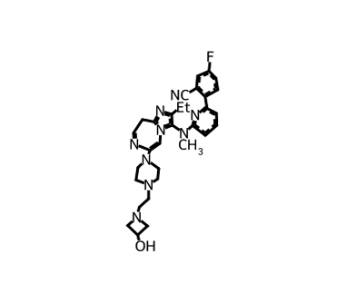 CCc1nc2n(c1N(C)c1cccc(-c3ccc(F)cc3C#N)n1)C=C(N1CCN(CCN3CC(O)C3)CC1)N=CC2